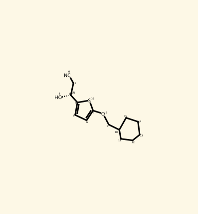 N#CC[C@@H](O)c1ccc(OCC2CCCCC2)s1